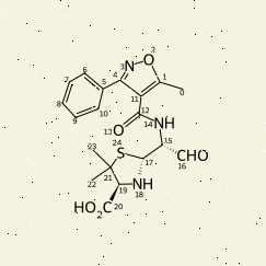 Cc1onc(-c2ccccc2)c1C(=O)N[C@H](C=O)[C@@H]1N[C@@H](C(=O)O)C(C)(C)S1